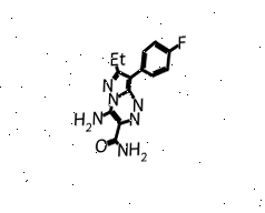 CCc1nn2c(N)c(C(N)=O)nnc2c1-c1ccc(F)cc1